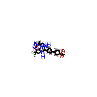 CC(F)(CN=[N+]=[N-])C[C@H](N[C@@H](c1ccc(-c2ccc(S(C)(=O)=O)cc2)cc1)C(F)(F)F)C(=O)NC1(C=N)CC1